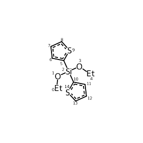 CCO[Si](OCC)(c1cccs1)c1cccs1